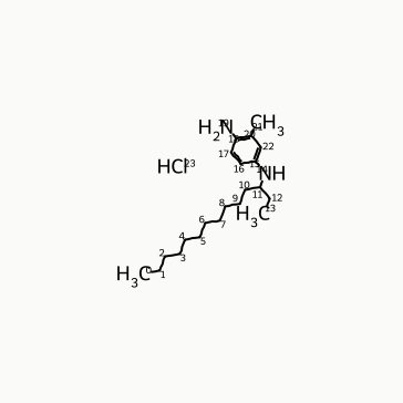 CCCCCCCCCCCC(CC)Nc1ccc(N)c(C)c1.Cl